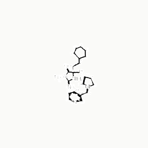 CN1C(=N)N[C@@](CCC2CCCCC2)(C[C@@H]2CCN(Cc3cccnc3)C2)C1=O